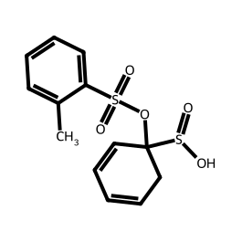 Cc1ccccc1S(=O)(=O)OC1(S(=O)O)C=CC=CC1